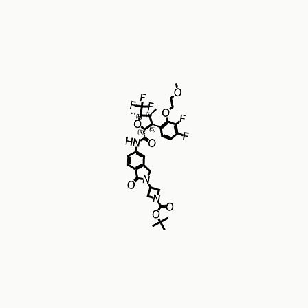 COCCOc1c([C@H]2[C@H](C(=O)Nc3ccc4c(c3)CN(C3CN(C(=O)OC(C)(C)C)C3)C4=O)O[C@@](C)(C(F)(F)F)[C@H]2C)ccc(F)c1F